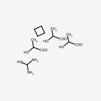 C1CCC1.CC(O)C(=O)[O-].CC(O)C(=O)[O-].CC(O)C(=O)[O-].N[CH](N)[Pt+3]